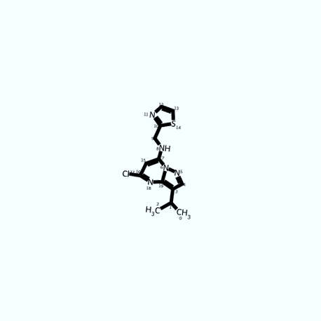 CC(C)c1cnn2c(NCc3nccs3)cc(Cl)nc12